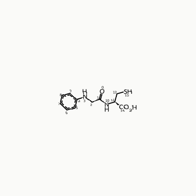 O=C(CNc1ccccc1)N[C@@H](CS)C(=O)O